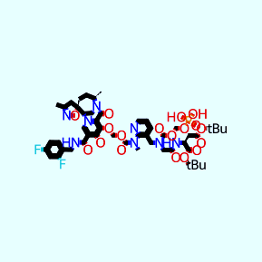 CC1=NO[C@@]2(CC[C@H](C)N3CC2n2cc(C(=O)NCc4ccc(F)cc4F)c(=O)c(OCOC(=O)N(C)c4ncccc4CN(CC(=O)N[C@@H](CC(=O)OC(C)(C)C)C(=O)OC(C)(C)C)C(=O)OCOP(=O)(O)O)c2C3=O)C1